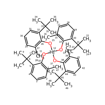 Cc1cccc(C(C)(C)C)c1[O][Hf]([O]c1c(C)cccc1C(C)(C)C)([O]c1c(C)cccc1C(C)(C)C)[O]c1c(C)cccc1C(C)(C)C